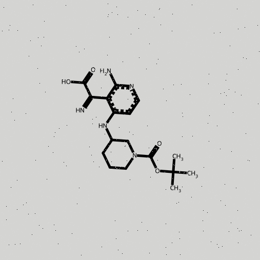 CC(C)(C)OC(=O)N1CCCC(Nc2ccnc(N)c2C(=N)C(=O)O)C1